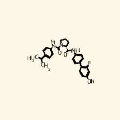 CC(C)c1ccc(NC(=O)N2CCC[C@@H]2C(=O)Nc2ccc(-c3ccc(O)cc3F)cc2)cc1